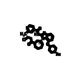 CC(=O)N1CCC(Oc2cccc3nc(NC(=O)c4ccnc(C)c4)n([C@@H]4CCCCN(C(=O)CCCl)C4)c23)CC1